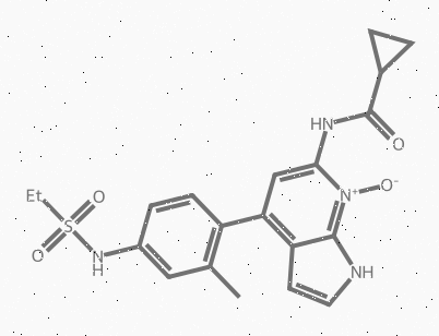 CCS(=O)(=O)Nc1ccc(-c2cc(NC(=O)C3CC3)[n+]([O-])c3[nH]ccc23)c(C)c1